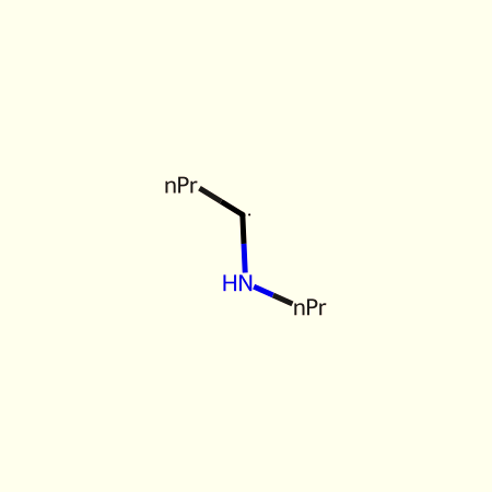 [CH2]CC[CH]NCCC